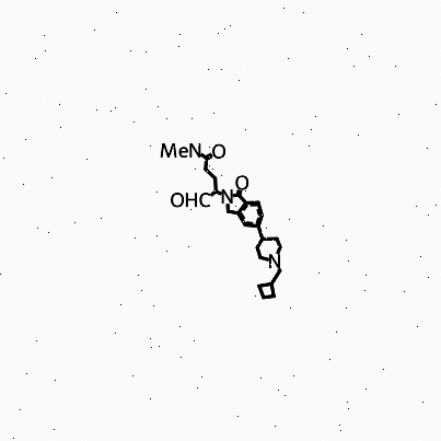 CNC(=O)CCC(C=O)N1Cc2cc(C3CCN(CC4CCC4)CC3)ccc2C1=O